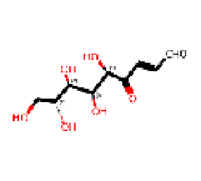 O=CC=CC(=O)[C@H](O)[C@@H](O)[C@H](O)[C@H](O)CO